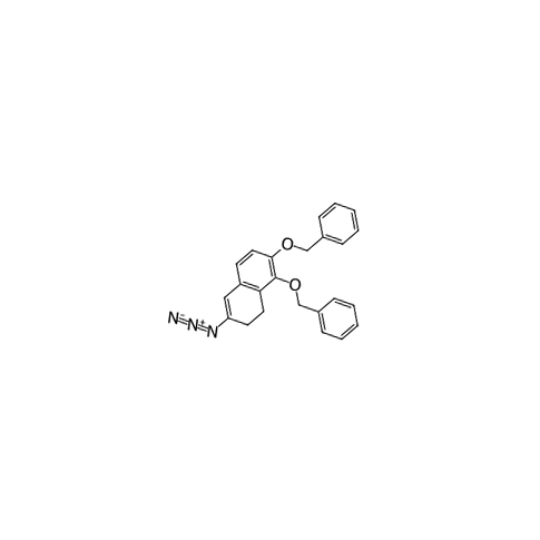 [N-]=[N+]=NC1=Cc2ccc(OCc3ccccc3)c(OCc3ccccc3)c2CC1